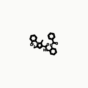 Cc1cc(C(=O)Nc2ccccc2OC(=O)c2ccccc2)c(C)n1-c1ccccc1C(F)(F)F